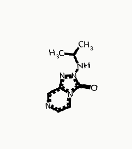 CC(C)Nn1nc2cnccn2c1=O